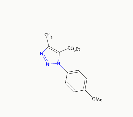 CCOC(=O)c1c(C)nnn1-c1ccc(OC)cc1